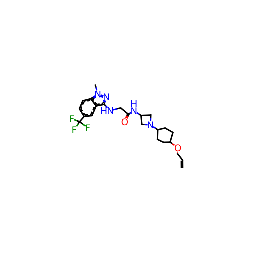 C=CCOC1CCC(N2CC(NC(=O)CNc3nn(C)c4ccc(C(F)(F)F)cc34)C2)CC1